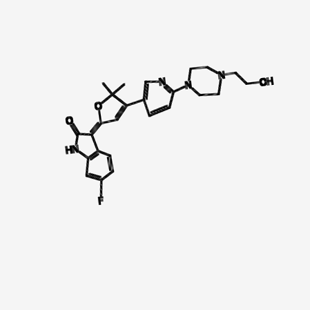 CC1(C)OC(=C2C(=O)Nc3cc(F)ccc32)C=C1c1ccc(N2CCN(CCO)CC2)nc1